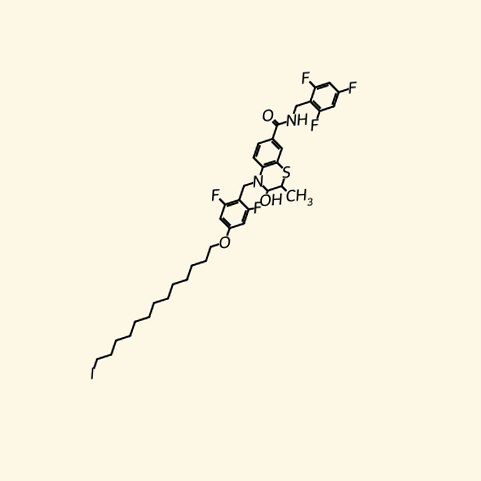 CC1Sc2cc(C(=O)NCc3c(F)cc(F)cc3F)ccc2N(Cc2c(F)cc(OCCCCCCCCCCCCCI)cc2F)C1O